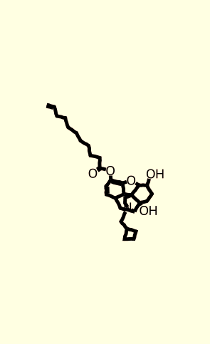 C=CCCCCCCCCC(=O)OC1=C2OC3C(O)CCC4(O)C5CC(C=C1)C2C34CCN5CC1CCC1